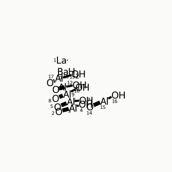 [BaH2].[La].[O]=[Al][OH].[O]=[Al][OH].[O]=[Al][OH].[O]=[Al][OH].[O]=[Al][OH].[O]=[Al][OH]